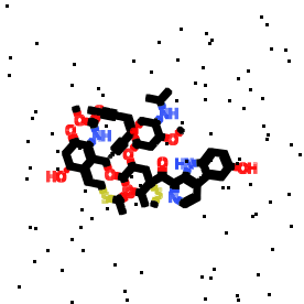 CC#C/C=C\C#C[C@H](OC1OC(C)C(SC)(C(=O)c2nccc3c2[nH]c2ccc(O)cc23)CC1OC1CC(OC)C(NC(C)C)CO1)C1=C(NC(=O)OC)C(=O)C[C@H](O)/C1=C/CSC(C)=O